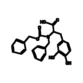 O=C(O)C(Cc1ccc(O)c(O)c1)N(Cc1ccccc1)C(=O)OCc1ccccc1